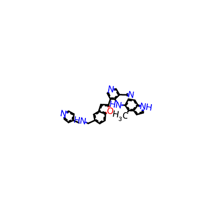 Cc1c(Nc2c(C#N)cncc2-c2cc3cc(CNCc4ccncc4)ccc3o2)ccc2[nH]ccc12